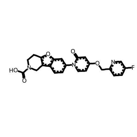 O=C(O)N1CCc2oc3cc(-n4ccc(OCc5ccc(F)cn5)cc4=O)ccc3c2C1